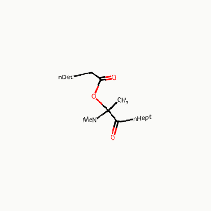 CCCCCCCCCCCC(=O)OC(C)(NC)C(=O)CCCCCCC